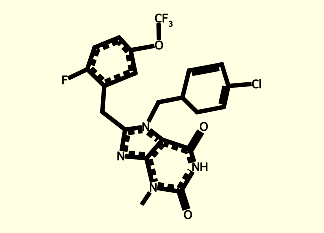 Cn1c(=O)[nH]c(=O)c2c1nc(Cc1cc(OC(F)(F)F)ccc1F)n2CC1C=CC(Cl)=CC1